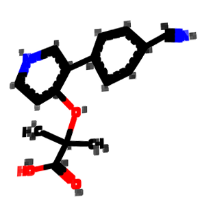 CC(C)(Oc1ccncc1-c1ccc(C#N)cc1)C(=O)O